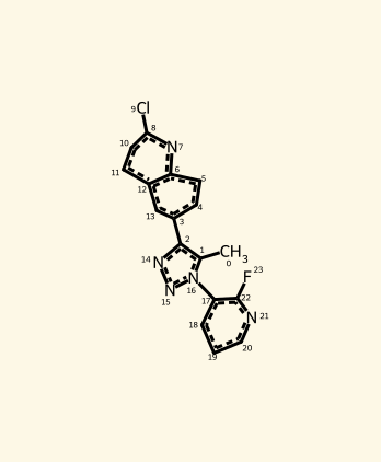 Cc1c(-c2ccc3nc(Cl)ccc3c2)nnn1-c1cccnc1F